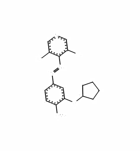 COc1ccc(/N=N/c2c(Cl)cncc2Cl)cc1OC1CCCC1